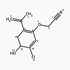 C=C(C)C1=C(OCC#N)C=C(Cl)C(O)C1